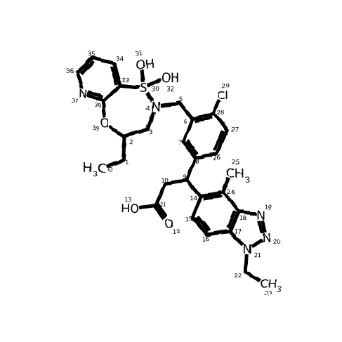 CCC1CN(Cc2cc(C(CC(=O)O)c3ccc4c(nnn4CC)c3C)ccc2Cl)S(O)(O)c2cccnc2O1